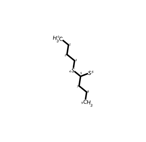 CCCCSC([S])CCC